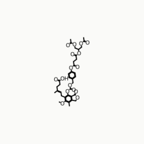 COc1c(C)c2c(c(OC(=O)OCc3ccc(OC(=O)CCC(=O)OC(COC(C)=O)COC(C)=O)cc3)c1C/C=C(\C)CCC(=O)O)C(=O)OC2